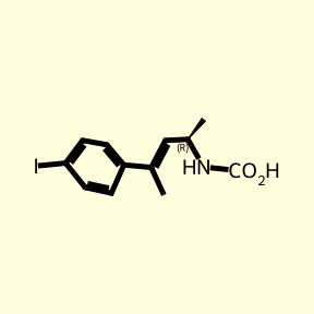 CC(=C[C@@H](C)NC(=O)O)c1ccc(I)cc1